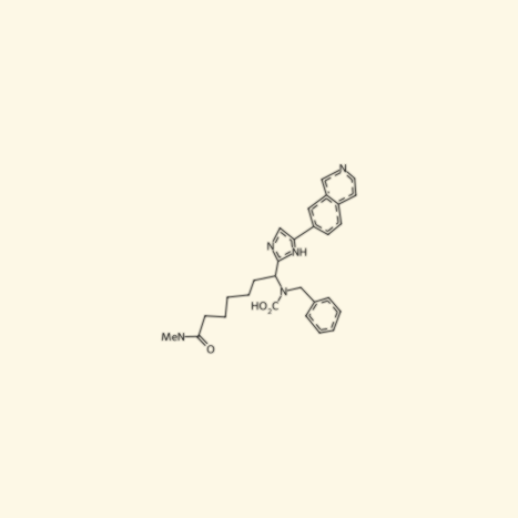 CNC(=O)CCCCCC(c1ncc(-c2ccc3ccncc3c2)[nH]1)N(Cc1ccccc1)C(=O)O